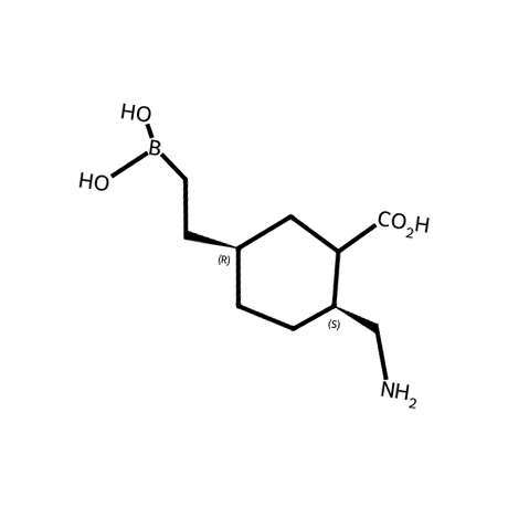 NC[C@H]1CC[C@@H](CCB(O)O)CC1C(=O)O